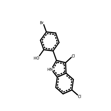 Oc1cc(Br)ccc1-c1[nH]c2ccc(Cl)cc2c1Cl